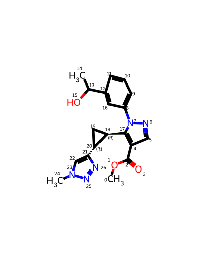 COC(=O)c1cnn(-c2cccc(C(C)O)c2)c1[C@@H]1C[C@H]1c1cn(C)nn1